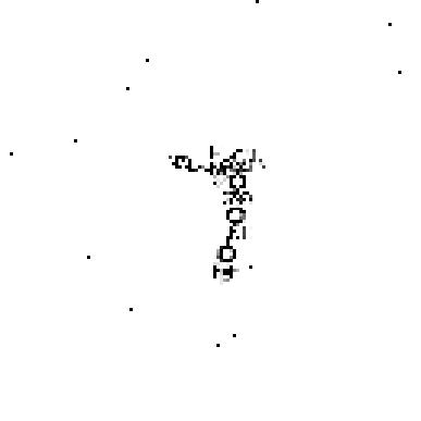 CS(=O)(=O)c1ccc(S(=O)(=O)c2ccc(NCc3ccc(C(F)(F)F)cc3)cc2)cc1S(=O)(=O)NCCCn1ccnc1